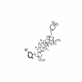 C=C(C)[C@@H]1CC[C@]2(NCCN3CCS(=O)(=O)CC3)CC[C@]3(C)[C@H](CCC4[C@@]5(C)CC=C(C6=CCC(COc7cc(C#N)ccn7)(C(=O)O)CC6)C(C)(C)C5CC[C@]43C)C12